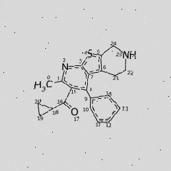 Cc1nc2sc3c(c2c(-c2ccccc2)c1C(=O)C1CC1)CCNC3